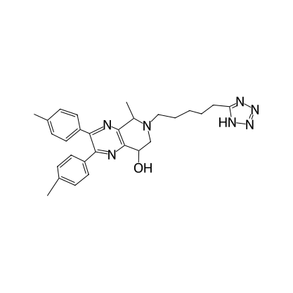 Cc1ccc(-c2nc3c(nc2-c2ccc(C)cc2)C(C)N(CCCCCc2nnn[nH]2)CC3O)cc1